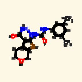 NC(=O)c1c(NC(=O)Nc2cc(C(F)(F)F)cc(C(F)(F)F)c2)sc2c1CCOC2